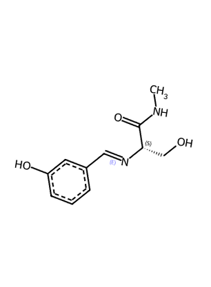 CNC(=O)[C@H](CO)/N=C/c1cccc(O)c1